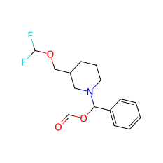 O=COC(c1ccccc1)N1CCCC(COC(F)F)C1